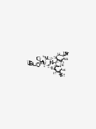 C[C@@H]1CN(C(=O)OC(C)(C)C)[C@@H](C)CN1C(c1ccc(Br)cc1)c1ccc(Br)cc1